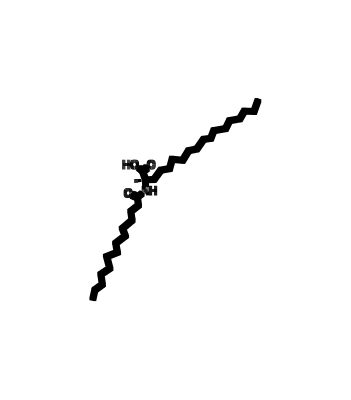 CCCCCCCCCCCCCCCC[C@@](C)(NC(=O)CCCCCCCCCCCCC)C(=O)O